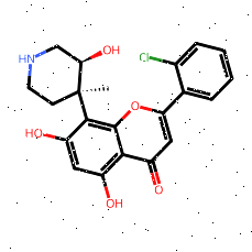 C[C@]1(c2c(O)cc(O)c3c(=O)cc(-c4ccccc4Cl)oc23)CCNC[C@H]1O